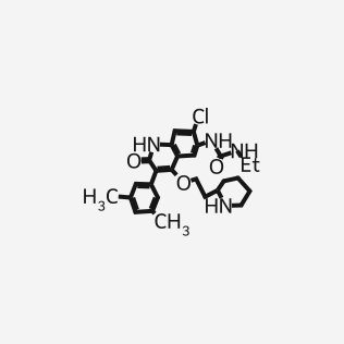 CCNC(=O)Nc1cc2c(OCCC3CCCCN3)c(-c3cc(C)cc(C)c3)c(=O)[nH]c2cc1Cl